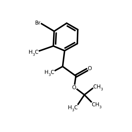 Cc1c(Br)cccc1C(C)C(=O)OC(C)(C)C